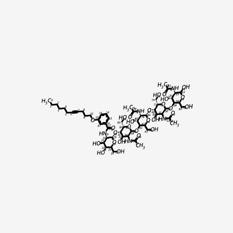 CCCCCCC#CCCCOc1cccc(C(=O)N[C@H]2C(O)[C@H](O)C(CO)O[C@H]2O[C@H]2C(O)C(NC(C)=O)C(OC3C(CO)O[C@@H](O[C@H]4C(O)C(NC(C)=O)C(OC5C(CO)OC(O)[C@@H](NC(C)=O)[C@H]5O)O[C@H]4CO)[C@@H](NC(C)=O)[C@H]3O)O[C@H]2CO)c1